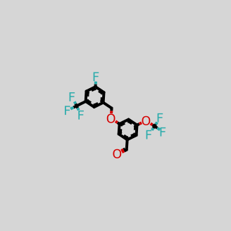 O=Cc1cc(OCc2cc(F)cc(C(F)(F)F)c2)cc(OC(F)(F)F)c1